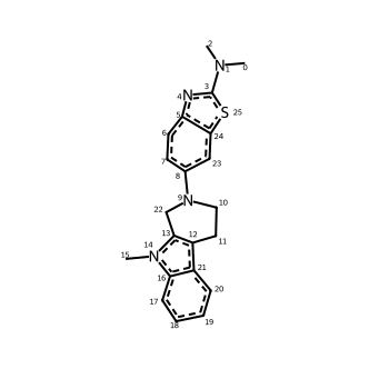 CN(C)c1nc2ccc(N3CCc4c(n(C)c5ccccc45)C3)cc2s1